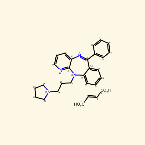 O=C(O)/C=C/C(=O)O.c1ccc(C2=Nc3cccnc3N(CCCN3CCCC3)c3ccccc32)cc1